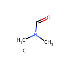 CN(C)C=O.[C]